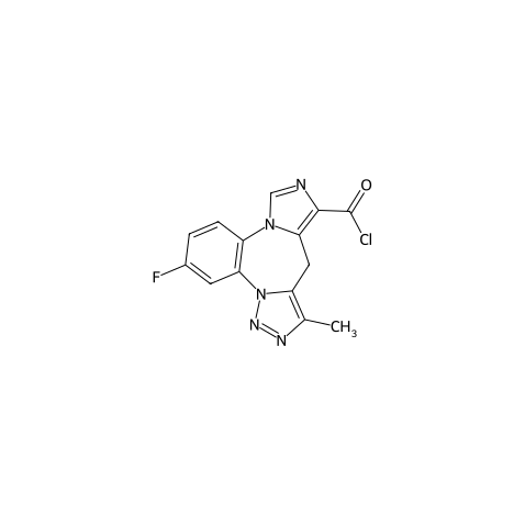 Cc1nnn2c1Cc1c(C(=O)Cl)ncn1-c1ccc(F)cc1-2